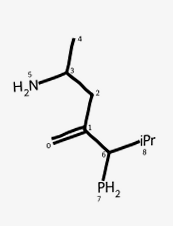 C=C(CC(C)N)C(P)C(C)C